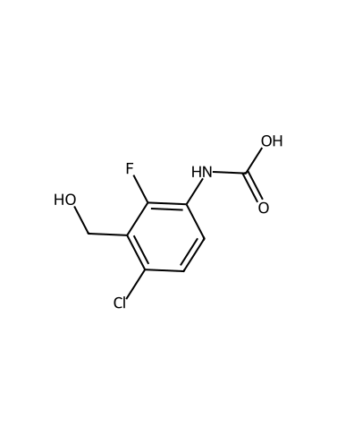 O=C(O)Nc1ccc(Cl)c(CO)c1F